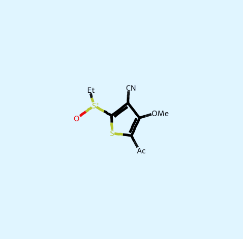 CC[S+]([O-])c1sc(C(C)=O)c(OC)c1C#N